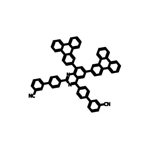 N#Cc1cccc(-c2ccc(-c3nc(-c4ccc(-c5cccc(C#N)c5)cc4)c4cc(-c5ccc6c7ccccc7c7ccccc7c6c5)cc(-c5ccc6c7ccccc7c7ccccc7c6c5)c4n3)cc2)c1